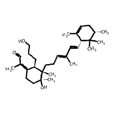 CC1=CC[C@H](C)C(C)(C)[C@@H]1/C=C/C(C)=C/CC[C@@]1(C)[C@H](CCCO)/C(=C(/C)C=O)CC[C@]1(C)O